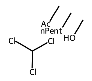 CC(C)=O.CCCCCC.CO.ClC(Cl)Cl